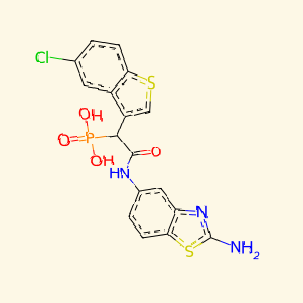 Nc1nc2cc(NC(=O)C(c3csc4ccc(Cl)cc34)P(=O)(O)O)ccc2s1